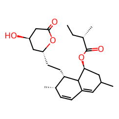 CC[C@H](C)C(=O)O[C@H]1CC(C)C=C2C=C[C@H](C)[C@H](CC[C@@H]3C[C@@H](O)CC(=O)O3)C21